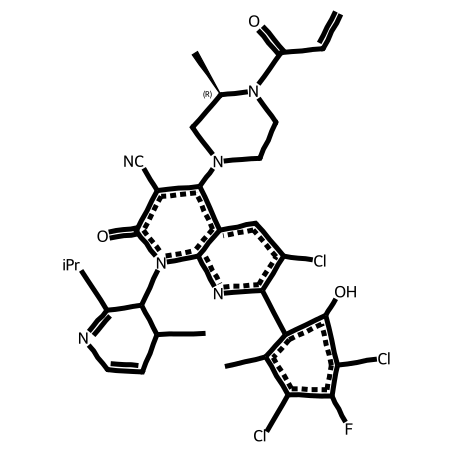 C=CC(=O)N1CCN(c2c(C#N)c(=O)n(C3C(C(C)C)=NC=CC3C)c3nc(-c4c(C)c(Cl)c(F)c(Cl)c4O)c(Cl)cc23)C[C@H]1C